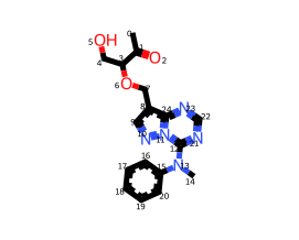 CC(=O)C(CO)OCc1cnn2c(N(C)c3ccccc3)ncnc12